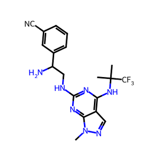 Cn1ncc2c(NC(C)(C)C(F)(F)F)nc(NCC(N)c3cccc(C#N)c3)nc21